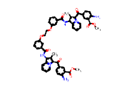 COC(=O)c1cc(C(=O)c2c(C)c(NC(=O)c3cccc(OCCOc4cccc(C(=O)Nc5c(C)c(C(=O)c6ccc(N)c(C(=O)OC)c6)n6ccccc56)c4)c3)c3ccccn23)ccc1N